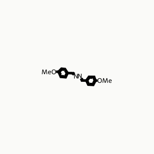 COc1ccc(C=NN=Cc2ccc(OC)cc2)cc1